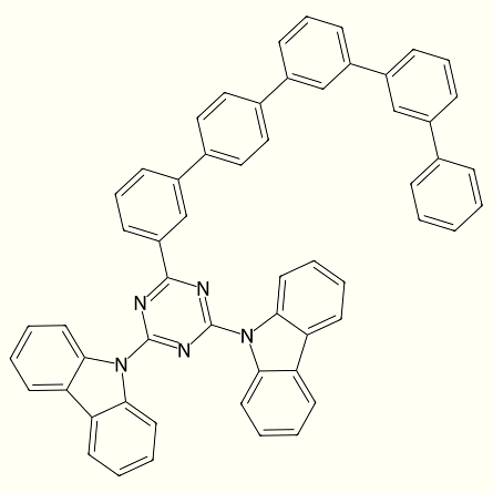 c1ccc(-c2cccc(-c3cccc(-c4ccc(-c5cccc(-c6nc(-n7c8ccccc8c8ccccc87)nc(-n7c8ccccc8c8ccccc87)n6)c5)cc4)c3)c2)cc1